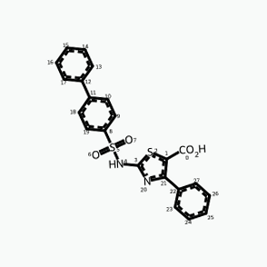 O=C(O)c1sc(NS(=O)(=O)c2ccc(-c3ccccc3)cc2)nc1-c1ccccc1